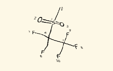 CS(=O)(=O)C(F)(F)C(F)(F)F